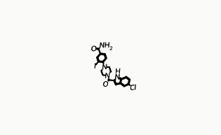 NC(=O)c1ccc(N2CCN(C(=O)c3cc4cc(Cl)ccc4[nH]3)CC2)c(I)c1